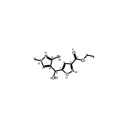 CCOC(=O)c1cc(C(O)c2cn(C)nc2Br)on1